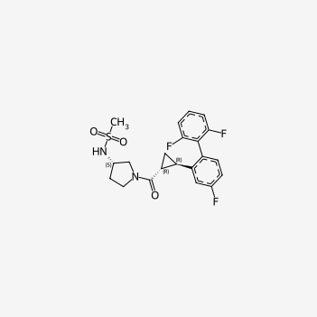 CS(=O)(=O)N[C@H]1CCN(C(=O)[C@@H]2C[C@H]2c2cc(F)ccc2-c2c(F)cccc2F)C1